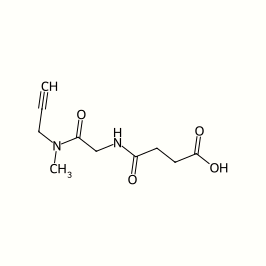 C#CCN(C)C(=O)CNC(=O)CCC(=O)O